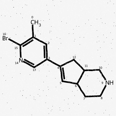 Cc1cc(C2=CC3CCNCC3C2)cnc1Br